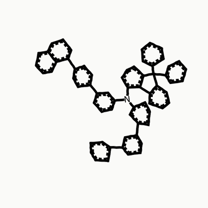 c1ccc(-c2cccc(-c3cccc(N(c4cccc(-c5ccc(-c6cccc7ccccc67)cc5)c4)c4cccc5c4-c4ccccc4C5(c4ccccc4)c4ccccc4)c3)c2)cc1